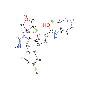 OC(Nc1ccncc1F)c1ccc(-c2c(-c3ccc(F)cc3)ncn2[C@@H]2COC[C@H]2F)o1